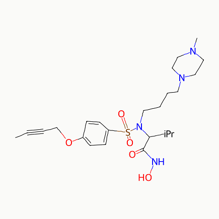 CC#CCOc1ccc(S(=O)(=O)N(CCCCN2CCN(C)CC2)C(C(=O)NO)C(C)C)cc1